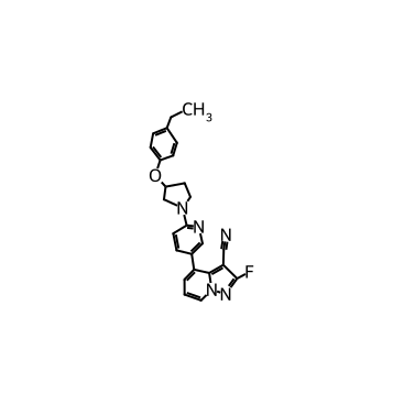 CCc1ccc(OC2CCN(c3ccc(-c4cccn5nc(F)c(C#N)c45)cn3)C2)cc1